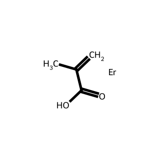 C=C(C)C(=O)O.[Er]